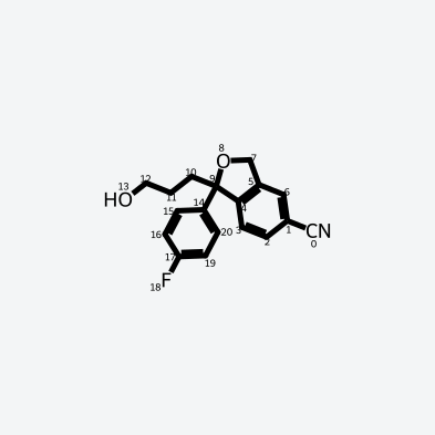 N#Cc1ccc2c(c1)COC2(CCCO)c1ccc(F)cc1